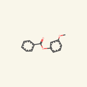 COc1cccc(OC(=O)c2ccccc2)c1